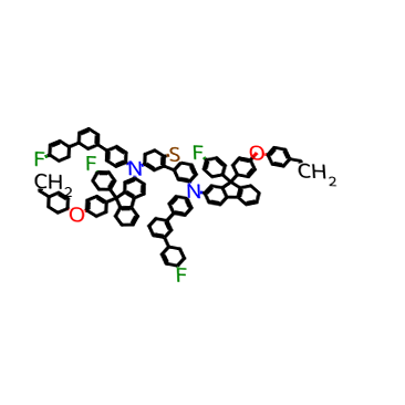 C=Cc1ccc(OC2=CCC(C3(C4C=CC(F)=CC4)C4=C(C=CCC4)C4C=CC(N(C5=CC6C7=C(CCC(N(c8ccc(C9=CC=CC(C%10C=CC(F)CC%10)C9)cc8)c8ccc9c(c8)C(C8=CC=C(F)CC8)(C8=CC=C(OC%10C=CC(C=C)CC%10)CC8)C8=C9C=CCC8)=C7)SC6C=C5)c5ccc(C6=CC(C7C=CC(F)CC7)=CCC6)cc5)=CC43)C=C2)cc1